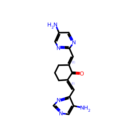 Nc1cnc(/C=C2\CCC/C(=C\c3ncncc3N)C2=O)nc1